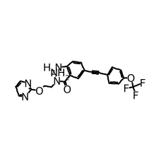 Nc1ccc(C#Cc2ccc(OC(F)(F)F)cc2)cc1C(=O)N(N)CCOc1ncccn1